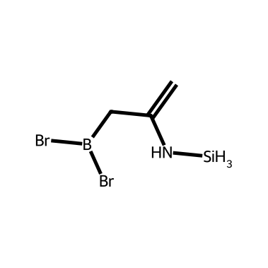 C=C(CB(Br)Br)N[SiH3]